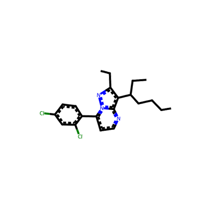 CCCCC(CC)c1c(CC)nn2c(-c3ccc(Cl)cc3Cl)ccnc12